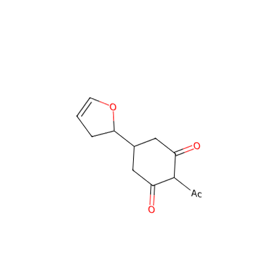 CC(=O)C1C(=O)CC(C2CC=CO2)CC1=O